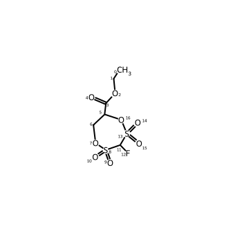 CCOC(=O)C1COS(=O)(=O)C(F)S(=O)(=O)O1